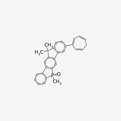 CC1(C)c2ccc(C3=CC=CCC=C3)cc2-c2cc3c(cc21)-c1ccccc1P3(C)=O